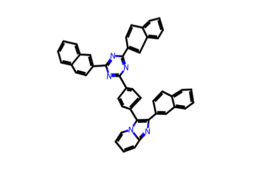 c1ccc2cc(-c3nc(-c4ccc(-c5c(-c6ccc7ccccc7c6)nc6ccccn56)cc4)nc(-c4ccc5ccccc5c4)n3)ccc2c1